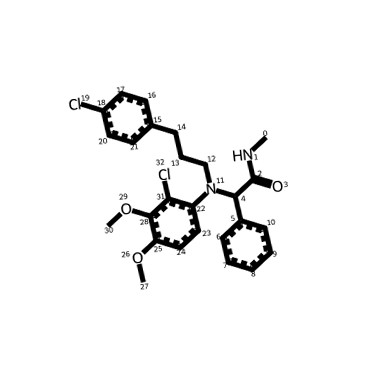 CNC(=O)C(c1ccccc1)N(CCCc1ccc(Cl)cc1)c1ccc(OC)c(OC)c1Cl